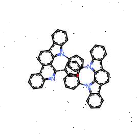 c1ccc(-n2c3ccccc3c3ccc4c5ccccc5nc(-c5ccc(-n6c7ccccc7c7ccc8c9ccccc9n(-c9ccccc9)c8c76)cc5)c4c32)cc1